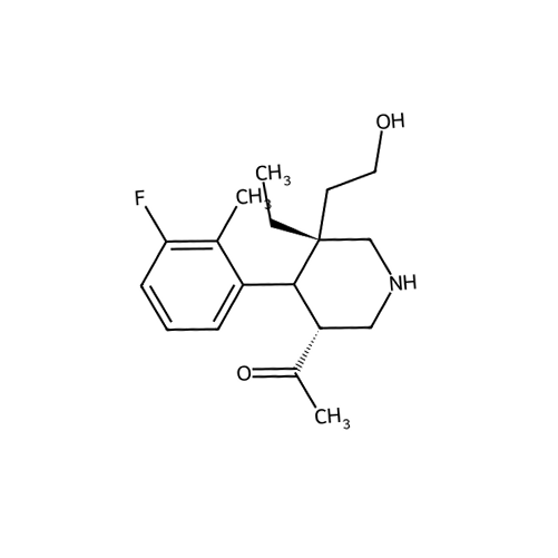 CC[C@@]1(CCO)CNC[C@H](C(C)=O)C1c1cccc(F)c1C